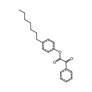 CCCCCCCc1ccc(OC(=O)C(=O)c2ccccc2)cc1